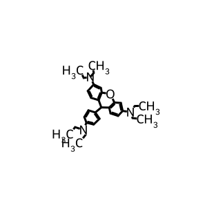 CCN(CC)c1ccc(C2c3ccc(N(CC)CC)cc3Oc3cc(N(CC)CC)ccc32)cc1